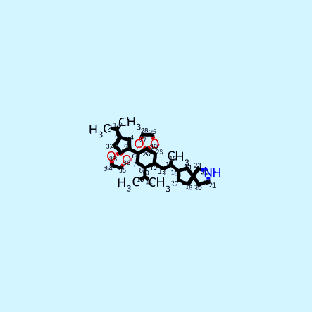 CC(C)C1CC(C2CC(C(C)C)C(CC(C)C3CCC4(CCNC4)C3)CC23OCCO3)C2(C1)OCCO2